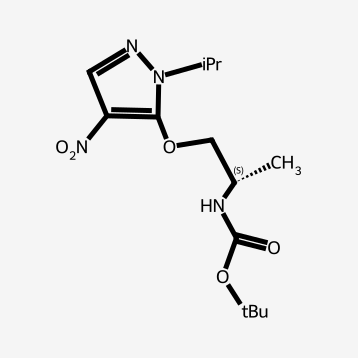 CC(C)n1ncc([N+](=O)[O-])c1OC[C@H](C)NC(=O)OC(C)(C)C